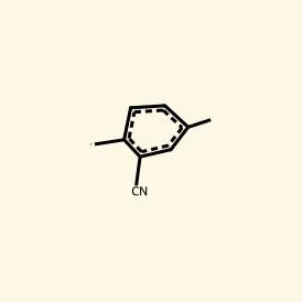 [CH2]c1ccc(C)cc1C#N